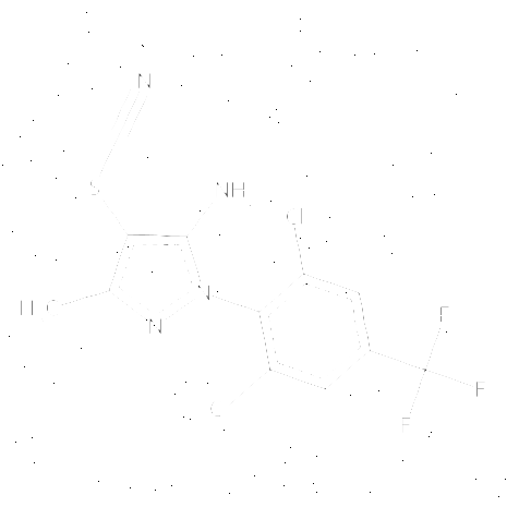 Cc1nn(-c2c(Cl)cc(C(F)(F)F)cc2Cl)c(N)c1SC#N